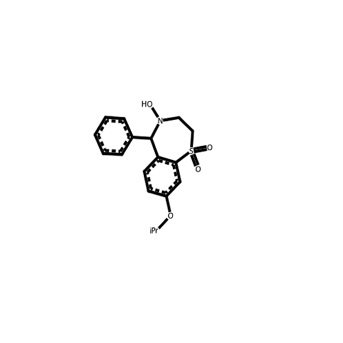 CC(C)Oc1ccc2c(c1)S(=O)(=O)CCN(O)C2c1ccccc1